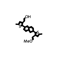 COC=Cc1cc(C)sc1-c1ccc2cc(-c3sc(C)cc3C=CO)ccc2c1